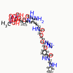 CP(O)OP(=O)(O)OP(=O)(O)OC[C@@H]1CC[C@H](N2C=C(C#CCNC(=O)COCCOC(COc3cccc(C(=O)NCCNC4CCCC4)c3)N=[N+]=[N-])C(N)NC2=O)O1